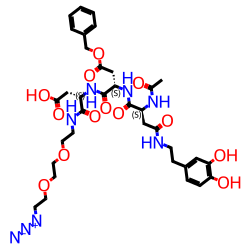 CC(=O)N[C@@H](CC(=O)NCCc1ccc(O)c(O)c1)C(=O)N[C@@H](CC(=O)OCc1ccccc1)C(=O)N[C@@H](CC(=O)O)C(=O)NCCOCCOCCN=[N+]=[N-]